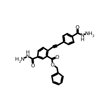 NNC(=O)c1ccc(C#Cc2ccc(C(=O)NN)cc2C(=O)OCc2ccccc2)cc1